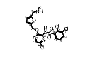 CNCc1ccc(COc2ncc(Cl)nc2NS(=O)(=O)c2cccc(Cl)c2Cl)o1